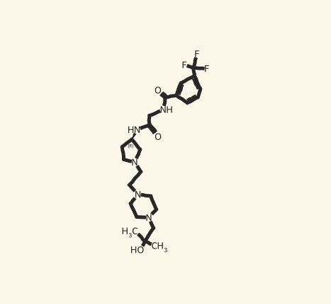 CC(C)(O)CN1CCN(CCN2CC[C@@H](NC(=O)CNC(=O)c3cccc(C(F)(F)F)c3)C2)CC1